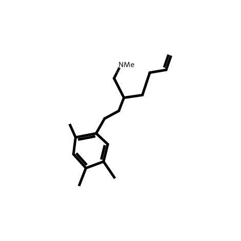 C=CCCC(CCc1cc(C)c(C)cc1C)CNC